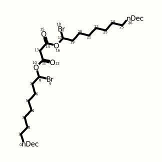 CCCCCCCCCCCCCCCCCC(Br)OC(=O)CC(=O)OC(Br)CCCCCCCCCCCCCCCCC